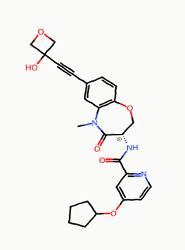 CN1C(=O)[C@@H](NC(=O)c2cc(OC3CCCC3)ccn2)COc2ccc(C#CC3(O)COC3)cc21